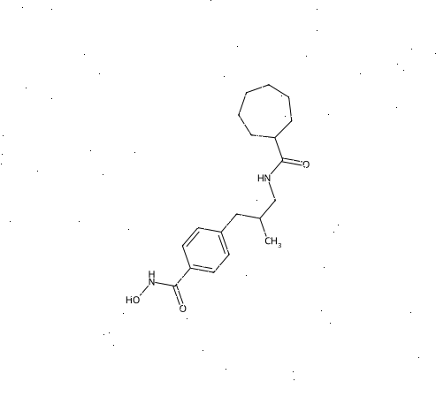 CC(CNC(=O)C1CCCCCC1)Cc1ccc(C(=O)NO)cc1